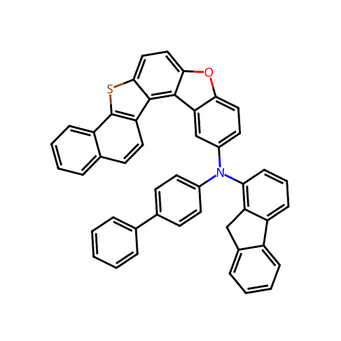 c1ccc(-c2ccc(N(c3ccc4oc5ccc6sc7c8ccccc8ccc7c6c5c4c3)c3cccc4c3Cc3ccccc3-4)cc2)cc1